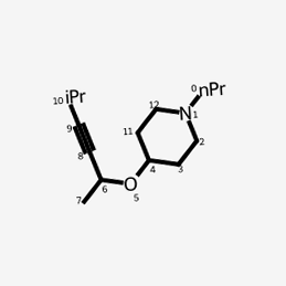 CCCN1CCC(OC(C)C#CC(C)C)CC1